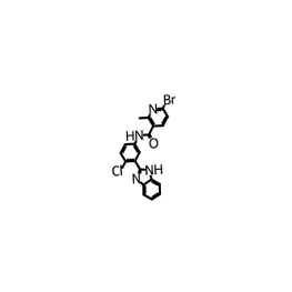 Cc1nc(Br)ccc1C(=O)Nc1ccc(Cl)c(-c2nc3ccccc3[nH]2)c1